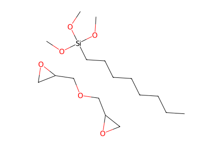 C(OCC1CO1)C1CO1.CCCCCCCC[Si](OC)(OC)OC